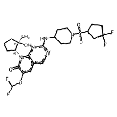 C[C@@]1(O)CCC[C@H]1n1c(=O)c(OC(F)F)cc2cnc(NC3CCN(S(=O)(=O)C4CCC(F)(F)C4)CC3)nc21